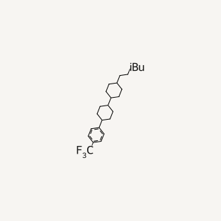 CCC(C)CCC1CCC(C2CCC(c3ccc(C(F)(F)F)cc3)CC2)CC1